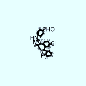 O=Cc1ccc(Nc2ncc3c(n2)-c2ccc(Cl)cc2C(c2c(F)cccc2F)=NC3)cc1